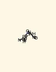 N#Cc1ccc(Oc2ccc(/C=C3\SC(NCCCN4CCOCC4)=NC3=O)cc2F)c(C(F)(F)F)c1